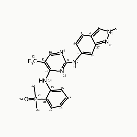 Cn1cc2ccc(Nc3ncc(C(F)(F)F)c(Nc4ccccc4P(C)(C)=O)n3)cc2n1